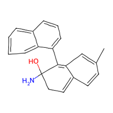 Cc1ccc2c(c1)=C(c1cccc3ccccc13)C(N)(O)CC=2